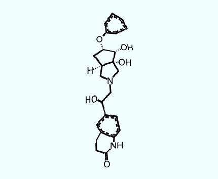 O=C1CCc2cc(C(O)CN3C[C@H]4C[C@H](Oc5ccccc5)[C@H](O)[C@@]4(O)C3)ccc2N1